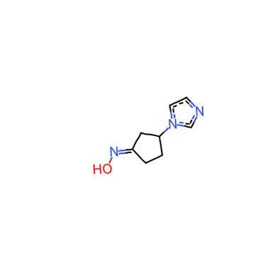 O/N=C1\CCC(n2ccnc2)C1